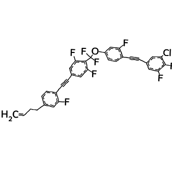 C=CCCc1ccc(C#Cc2cc(F)c(C(F)(F)Oc3ccc(C#Cc4cc(F)c(F)c(Cl)c4)c(F)c3)c(F)c2)c(F)c1